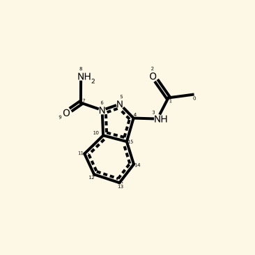 CC(=O)Nc1nn(C(N)=O)c2cc[c]cc12